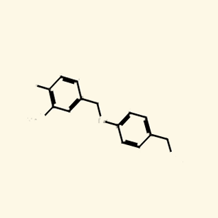 CCOC(=O)Cc1ccc(NCc2ccc(O)c(OC)c2)cc1